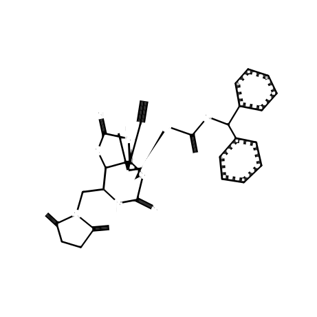 C#CC1(O)[C@@H](OC(=O)NC(c2ccccc2)c2ccccc2)CN2C(=N)NC(CN3C(=O)CCC3=O)C3NC(=N)NC321